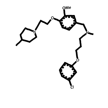 COc1cc(CN(C)CCCOc2cccc(Cl)c2)ccc1OCCN1CCC(C)CC1